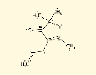 C=CCC1=C(C)CC(C)(C)C1=O